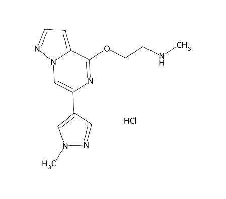 CNCCOc1nc(-c2cnn(C)c2)cn2nccc12.Cl